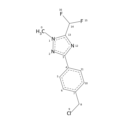 Cn1nc(-c2ccc(CCl)cc2)nc1C(F)F